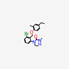 CCc1ccc(OCc2c(Br)cccc2N(CC)C(=O)NC)c(C)c1